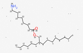 CCCCCCCCC(CCCCCC)COC(=O)CCCCCCCN